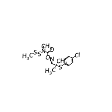 CSSN(C)C(=O)ON=CC(C)(C)Sc1ccc(Cl)cc1